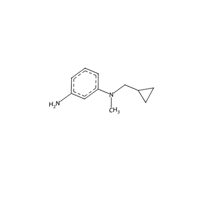 CN(CC1CC1)c1cccc(N)c1